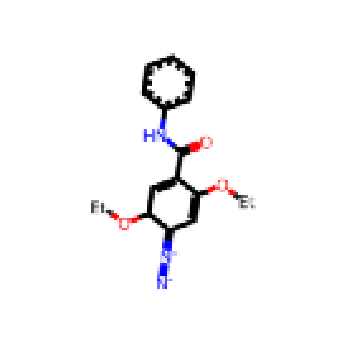 CCOC1=CC(=[N+]=[N-])C(OCC)C=C1C(=O)Nc1ccccc1